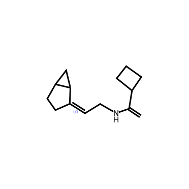 C=C(NC/C=C1/CCC2CC12)C1CCC1